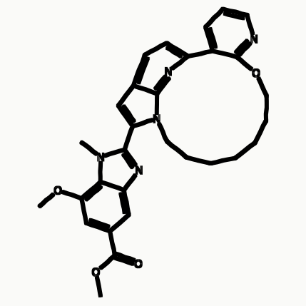 COC(=O)c1cc(OC)c2c(c1)nc(-c1cc3ccc4nc3n1CCCCCCCOc1ncccc1-4)n2C